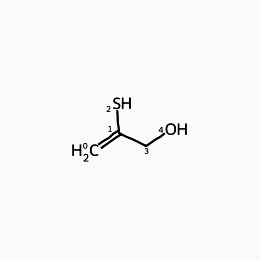 C=C(S)CO